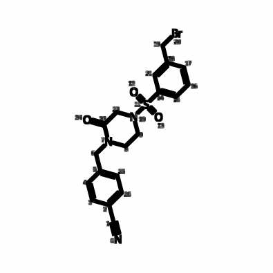 N#Cc1ccc(CN2CCN(S(=O)(=O)c3cccc(CBr)c3)CC2=O)cc1